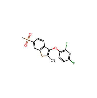 CS(=O)(=O)c1ccc2c(Oc3ccc(F)cc3F)c(C#N)sc2c1